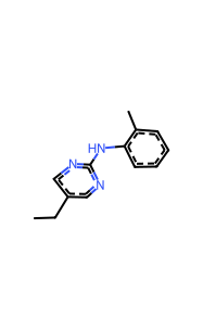 CCc1cnc(Nc2ccccc2C)nc1